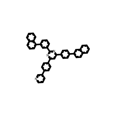 c1cncc(-c2ccc(-c3cc(-c4ccc(-c5ccc6ccccc6c5)cc4)nc(-c4cccc(-c5cccc6ccccc56)c4)n3)cc2)c1